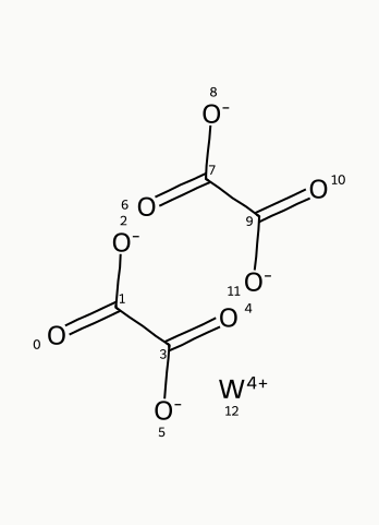 O=C([O-])C(=O)[O-].O=C([O-])C(=O)[O-].[W+4]